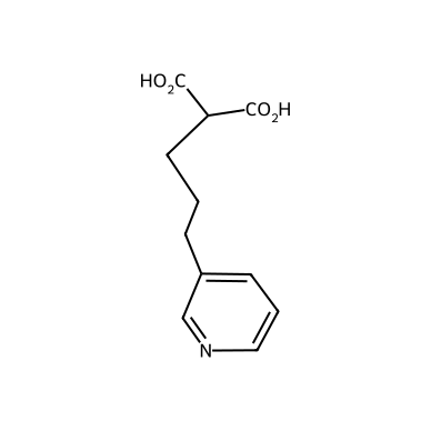 O=C(O)C(CCCc1cccnc1)C(=O)O